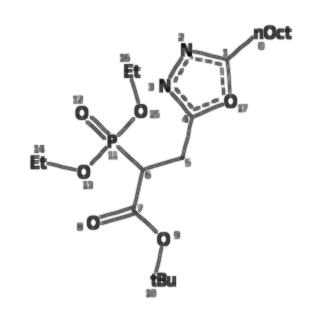 CCCCCCCCc1nnc(CC(C(=O)OC(C)(C)C)P(=O)(OCC)OCC)o1